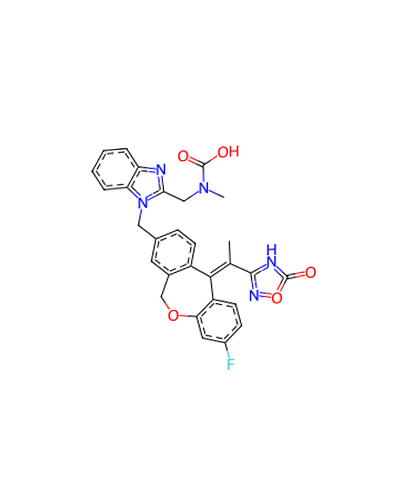 CC(=C1c2ccc(Cn3c(CN(C)C(=O)O)nc4ccccc43)cc2COc2cc(F)ccc21)c1noc(=O)[nH]1